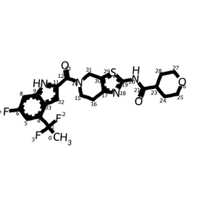 CC(F)(F)c1cc(F)cc2[nH]c(C(=O)N3CCc4nc(NC(=O)C5CCOCC5)sc4C3)cc12